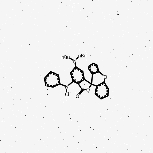 CCCCN(CCCC)c1cc(N(Cl)c2ccccc2)c2c(c1)C1(OC2=O)c2ccccc2Oc2ccccc21